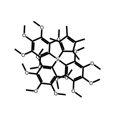 COc1c(OC)c(OC)c([Si](C2=C(C)C(C)=C(C)C2C)(c2c(OC)c(OC)c(OC)c(OC)c2OC)c2c(OC)c(OC)c(OC)c(OC)c2OC)c(OC)c1OC